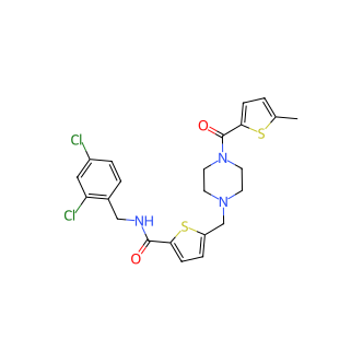 Cc1ccc(C(=O)N2CCN(Cc3ccc(C(=O)NCc4ccc(Cl)cc4Cl)s3)CC2)s1